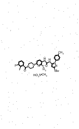 CS(=O)(=O)O.Cc1ccc(-n2nc(C(C)(C)C)cc2NC(=O)Nc2ccc(N3CCN(C(=O)c4cccc(F)c4F)CC3)nc2C)cc1